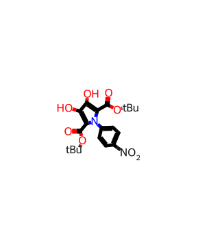 CC(C)(C)OC(=O)c1c(O)c(O)c(C(=O)OC(C)(C)C)n1-c1ccc([N+](=O)[O-])cc1